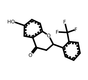 O=C1CC(c2ccccc2C(F)(F)F)Oc2ccc(O)cc21